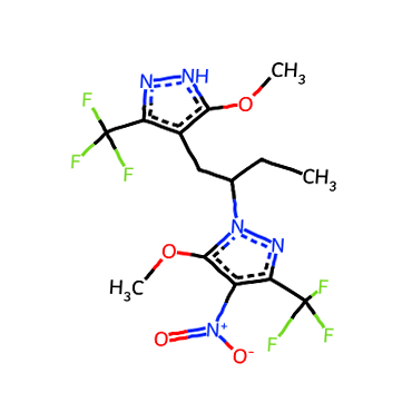 CCC(Cc1c(C(F)(F)F)n[nH]c1OC)n1nc(C(F)(F)F)c([N+](=O)[O-])c1OC